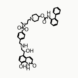 CN(CCN1CCC(OC(=O)Nc2ccccc2-c2ccccc2)CC1)S(=O)(=O)c1ccc(CNC[C@H](O)c2ccc(O)c3[nH]c(=O)ccc23)cc1